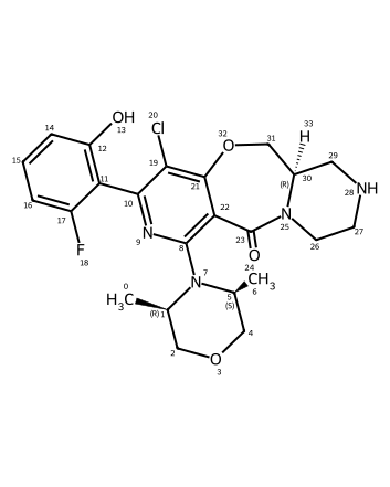 C[C@@H]1COC[C@H](C)N1c1nc(-c2c(O)cccc2F)c(Cl)c2c1C(=O)N1CCNC[C@@H]1CO2